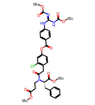 CC(C)(C)OC(=O)CCN(C(=O)Cc1ccc(OC(=O)c2ccc(N/C(=N\C(=O)OC(C)(C)C)NC(=O)OC(C)(C)C)cc2)cc1Cl)[C@@H](Cc1ccccc1)C(=O)OC(C)(C)C